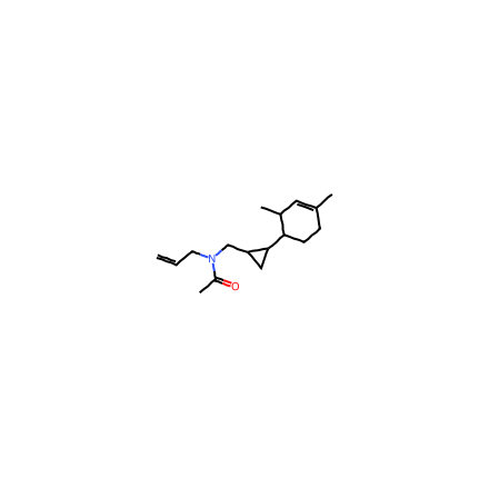 C=CCN(CC1CC1C1CCC(C)=CC1C)C(C)=O